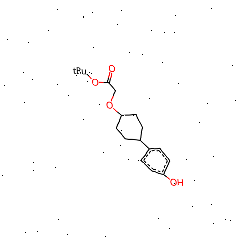 CC(C)(C)OC(=O)COC1CCC(c2ccc(O)cc2)CC1